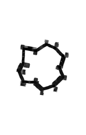 [C]1=C/C=C\C=C\CC/C=C/C=C/C/1